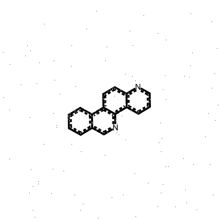 c1ccc2c(c1)cnc1c3cccnc3ccc21